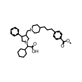 COC(=O)c1ccc(CCCC2CCN(CC3CN(C(C(=O)O)C4CCCCC4)CC3c3ccccc3)CC2)cc1